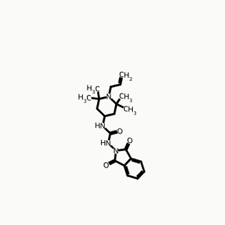 C=CCN1C(C)(C)CC(NC(=O)NN2C(=O)c3ccccc3C2=O)CC1(C)C